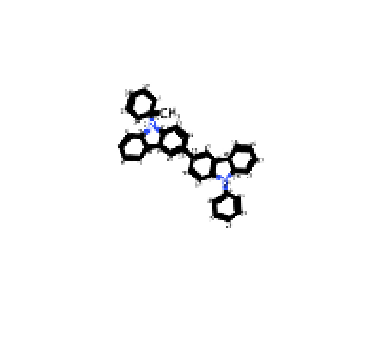 CC1(N2C3C=CC=CC3C3C=C(c4ccc5c(c4)C4C=CC=CC4N5c4ccccc4)C=CC32)CC=CCC1